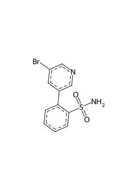 NS(=O)(=O)c1ccccc1-c1cncc(Br)c1